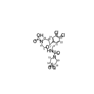 O=C(O)N1CCO[C@](CNC(=O)N2CCS(=O)(=O)CC2)(c2ccc(Cl)c(Cl)c2)CC1